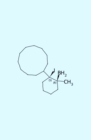 B[C@@]1(C)CCCC[C@]1(I)C1CCCCCCCCCC1